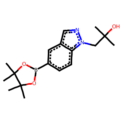 CC(C)(O)Cn1ncc2cc(B3OC(C)(C)C(C)(C)O3)ccc21